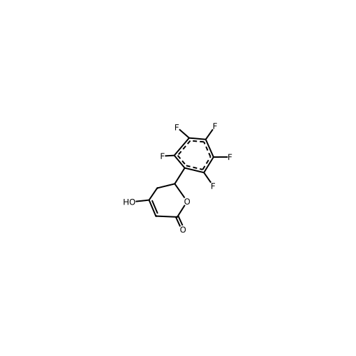 O=C1C=C(O)CC(c2c(F)c(F)c(F)c(F)c2F)O1